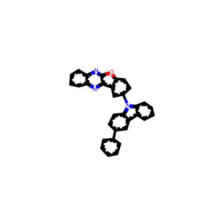 c1ccc(-c2ccc3c(c2)c2ccccc2n3-c2ccc3oc4nc5ccccc5nc4c3c2)cc1